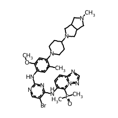 COc1cc(N2CCC(N3CC4CN(C)CC4C3)CC2)c(C)cc1Nc1ncc(Br)c(Nc2ccc3ncnn3c2P(C)(C)=O)n1